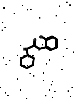 O=C(NC1CCCCC1)Sc1ccccc1Cl